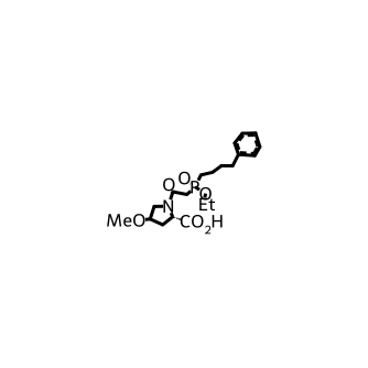 CCOP(=O)(CCCCc1ccccc1)CC(=O)N1CC(OC)C[C@H]1C(=O)O